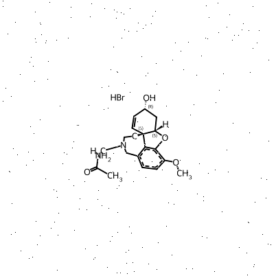 Br.CC(N)=O.COc1ccc2c3c1O[C@H]1C[C@@H](O)C=C[C@@]31CCN(C)C2